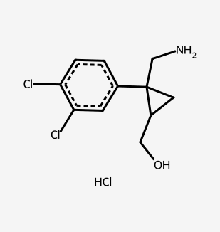 Cl.NCC1(c2ccc(Cl)c(Cl)c2)CC1CO